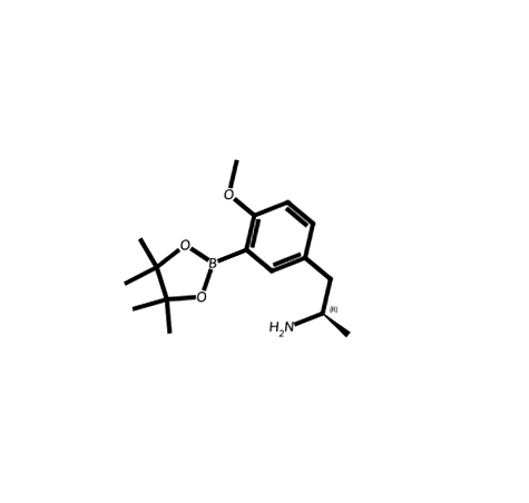 COc1ccc(C[C@@H](C)N)cc1B1OC(C)(C)C(C)(C)O1